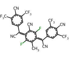 Cc1c(F)/c(=C(\C#N)c2cc(C(F)(F)F)c(C#N)c(C(F)(F)F)c2)c(C#N)c(F)/c1=C(/C#N)c1cc(C(F)(F)F)c(C#N)c(C(F)(F)F)c1